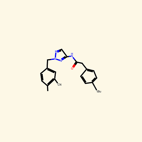 Cc1ccc(Cn2ncc(NC(=O)Cc3ccc(C(C)(C)C)cc3)n2)cc1C#N